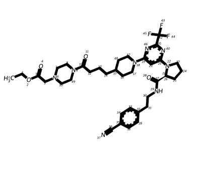 CCOC(=O)CN1CCN(C(=O)CCCC2CCN(c3cc(N4CCC[C@H]4C(=O)NCCc4ccc(C#N)cc4)nc(C(F)(F)F)n3)CC2)CC1